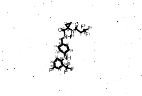 O=C(CC(F)(F)F)NC1(C(=O)NCc2ccc(Nc3ccc(F)cc3C(F)(F)F)cc2)CC1